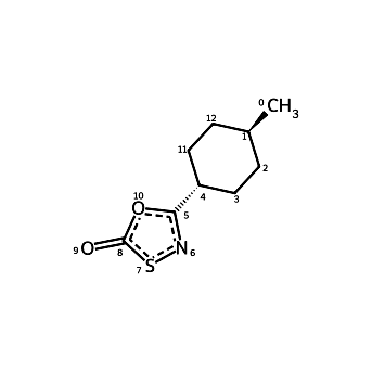 C[C@H]1CC[C@H](c2nsc(=O)o2)CC1